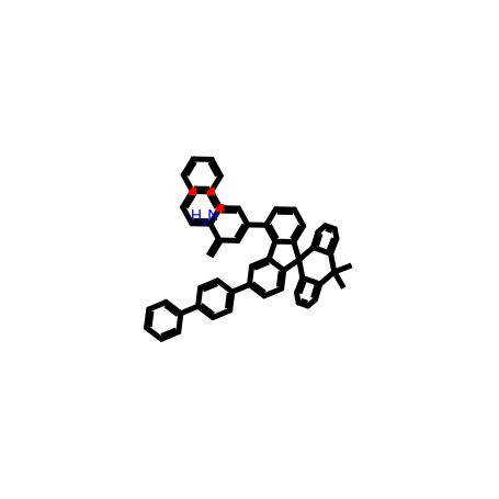 C=C(/C=C(\C=C(/N)c1ccccc1)c1cccc2c1-c1cc(-c3ccc(-c4ccccc4)cc3)ccc1C21c2ccccc2C(C)(C)c2ccccc21)c1ccccc1